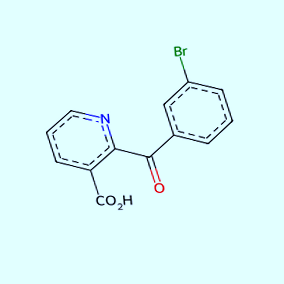 O=C(O)c1cccnc1C(=O)c1cccc(Br)c1